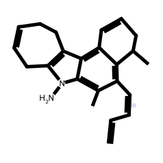 C=C/C=C\c1c2c(c3c4c(n(N)c3c1C)CC=CCC4)C=CCC2C